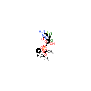 CC(C)OC(=O)[C@H](C)OP(=O)(OC[C@H]1O[C@@H](n2cc(F)c(N)nc2=O)[C@@](Cl)(C#CCl)C1O)Oc1ccccc1